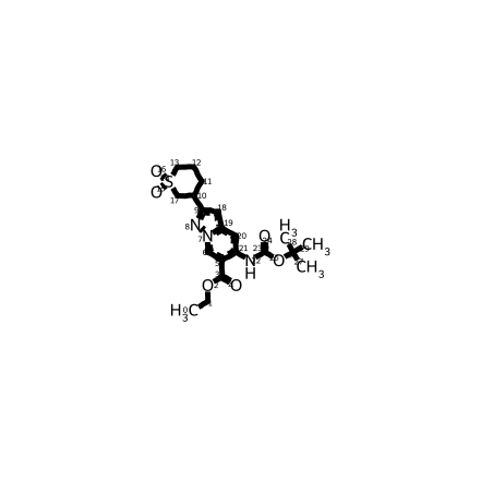 CCOC(=O)c1cn2nc(C3CCCS(=O)(=O)C3)cc2cc1NC(=O)OC(C)(C)C